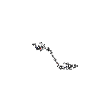 CCC(CC(CO)NC(=O)CCCn1cc(COCCOCCOCCOCCOc2ccn3cc(/C(C=O)=C/c4ccc(N5CCNCC5)cc4OC)nc3c2)nn1)(C(C)/C(N)=N\C=N)P(O)O